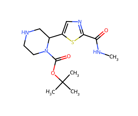 CNC(=O)c1ncc(C2CNCCN2C(=O)OC(C)(C)C)s1